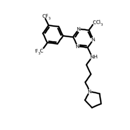 FC(F)(F)c1cc(-c2nc(NCCCN3CCCC3)nc(C(Cl)(Cl)Cl)n2)cc(C(F)(F)F)c1